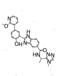 COc1ncccc1-c1ccc(O)c(-c2nc3cc(C(=O)NC(C)c4nncn4C)ccc3[nH]2)c1